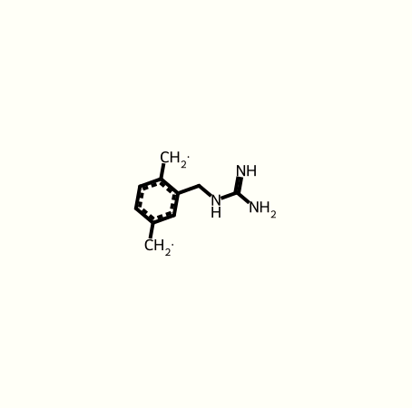 [CH2]c1ccc([CH2])c(CNC(=N)N)c1